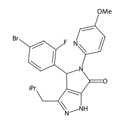 COc1ccc(N2C(=O)c3[nH]nc(CC(C)C)c3C2c2ccc(Br)cc2F)nc1